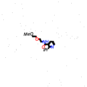 COCCOCCNC(=O)c1cccnc1C(C)C